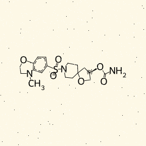 CN1CCOc2ccc(S(=O)(=O)N3CCC4(CC3)C[C@@H](OC(N)=O)CO4)cc21